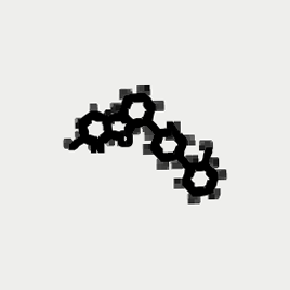 Cc1ccc2c(n1)oc1c(-c3ccc(-c4ccccc4C)cn3)cccc12